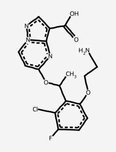 CC(Oc1ccn2ncc(C(=O)O)c2n1)c1c(OCCN)ccc(F)c1Cl